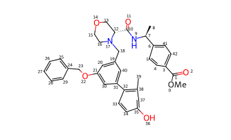 COC(=O)c1ccc([C@H](C)NC(=O)[C@H]2COCCN2Cc2cc(OCc3ccccc3)cc(-c3ccc(O)cc3C)c2)cc1